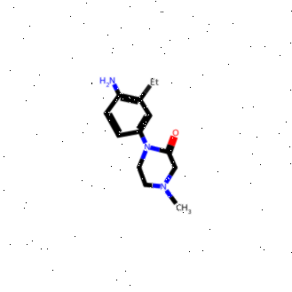 CCc1cc(N2CCN(C)CC2=O)ccc1N